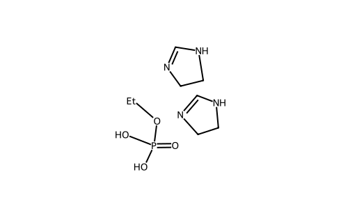 C1=NCCN1.C1=NCCN1.CCOP(=O)(O)O